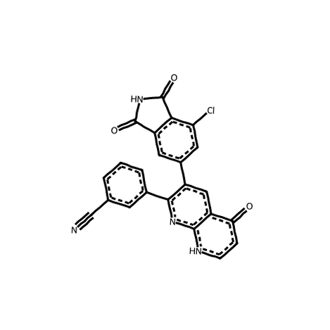 N#Cc1cccc(-c2nc3[nH]ccc(=O)c3cc2-c2cc(Cl)c3c(c2)C(=O)NC3=O)c1